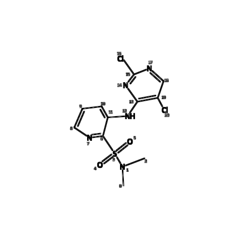 CN(C)S(=O)(=O)c1ncccc1Nc1nc(Cl)ncc1Cl